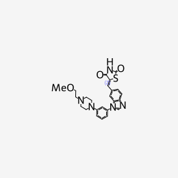 COCCN1CCN(c2cccc(-n3cnc4ccc(/C=C5\SC(=O)NC5=O)cc43)c2)CC1